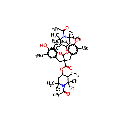 CCCC(=O)N1C(C)(CC)CC(OC(=O)C(Cc2cc(C(C)(C)C)c(O)c(C(C)(C)C)c2)(Cc2cc(C(C)(C)C)c(O)c(C(C)(C)C)c2)C(=O)OC2CC(C)(CC)N(C(=O)CCC)C(C)(CC)C2C)C(C)C1(C)CC